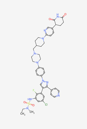 CCN(C)S(=O)(=O)Nc1cc(Cl)cc(-c2cn(-c3ccc(N4CCN(CC5CCN(c6ccc(C7CCC(=O)NC7=O)cn6)CC5)CC4)cc3)nc2-c2ccncc2)c1F